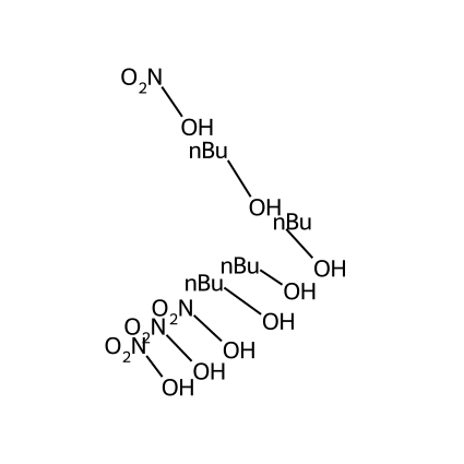 CCCCO.CCCCO.CCCCO.CCCCO.O=[N+]([O-])O.O=[N+]([O-])O.O=[N+]([O-])O.O=[N+]([O-])O